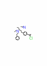 CC#N.CCC(CCc1ccc(C2CC2Cl)cc1)N(CC)CCc1ccccc1